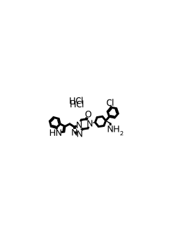 Cl.Cl.NC[C@]1(c2cccc(Cl)c2)CC[C@@H](N2Cc3nnc(Cc4c[nH]c5ccccc45)n3CC2=O)CC1